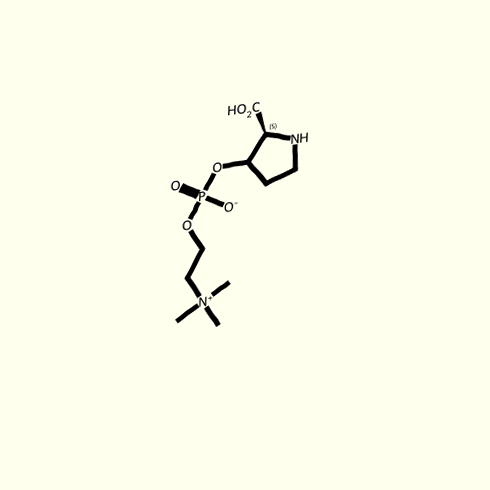 C[N+](C)(C)CCOP(=O)([O-])OC1CCN[C@@H]1C(=O)O